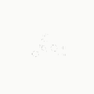 CCCC(=O)Oc1nc(-c2ccc(F)cc2)oc1-c1ccc(O)c(OCC(C)C)c1